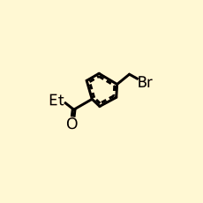 CCC(=O)c1ccc(CBr)cc1